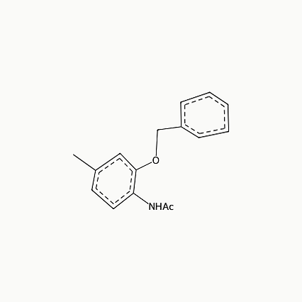 CC(=O)Nc1ccc(C)cc1OCc1ccccc1